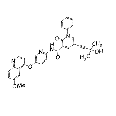 COc1ccc2nccc(Oc3ccc(NC(=O)c4cc(C#CC(C)(C)O)cn(-c5ccccc5)c4=O)nc3)c2c1